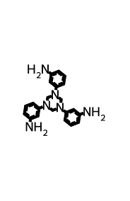 Nc1cccc(N2CN(c3cccc(N)c3)CN(c3cccc(N)c3)C2)c1